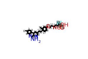 Cc1ccc2c(c1)N=C(N)C1N=CC(CCc3ccc(OCCCCCC(F)(F)P(=O)(O)O)cc3C)=CC21